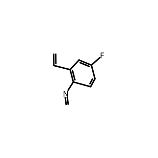 C=Cc1cc(F)ccc1N=C